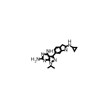 CC(C)n1nc(-c2ccc3c(c2)N=C(NC2CC2)C3)c2c(N)nc(N)nc21